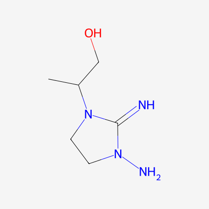 CC(CO)N1CCN(N)C1=N